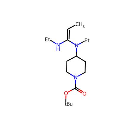 C/C=C(/NCC)N(CC)C1CCN(C(=O)OC(C)(C)C)CC1